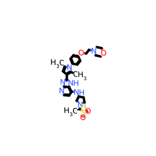 Cc1cc(-c2nc3nccc(N[C@H]4CCN([C@H](C)[SH](=O)=O)C4)c3[nH]2)c(C)n1-c1ccc(OCCN2CCOCC2)cc1